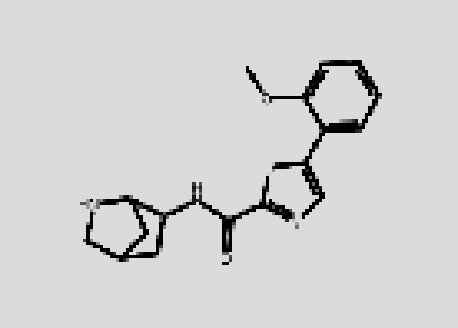 COc1ccccc1-c1cnc(C(=O)NC2CC3CNC2C3)o1